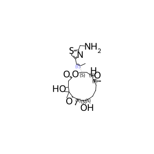 C/C(=C\c1csc(CN)n1)[C@@H]1C[C@@H]2O[C@]2(C)CCC[C@H](C)[C@H](O)[C@@H](C)C(=O)C(C)(C)C(O)CC(=O)O1